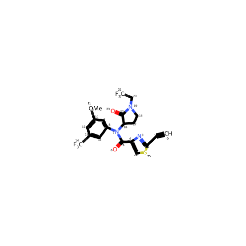 C#Cc1nc(C(=O)N(c2cc(OC)cc(C(F)(F)F)c2)C2CCN(CC(F)(F)F)C2=O)cs1